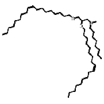 CCCCCCCC/C=C\CCCCCCCCOCC(CN(C)CCCCCCCC)OCCCCCCCC/C=C\CCCCCCCC